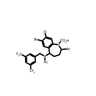 CC(=O)N(Cc1cc(C(F)(F)F)cc(C(F)(F)F)c1)C1CCC(C(C)C)N(C(=O)O)c2cc(Cl)c(Br)cc21